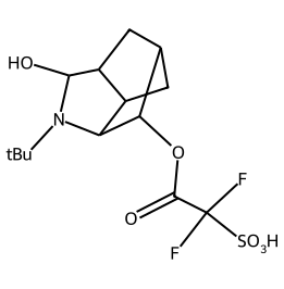 CC(C)(C)N1C(O)C2CC3CC2C1C3OC(=O)C(F)(F)S(=O)(=O)O